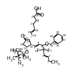 CC/C=C/C(F)(F)C(/C=C/[C@H]1[C@H](O[Si](C)(C)C(C)(C)C)CC(=O)[C@@H]1CC=CCCCC(=O)O)OCc1ccccc1